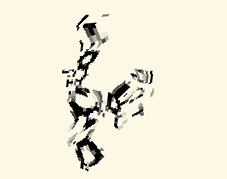 COc1cc(OC(F)(F)F)ccc1CNc1nc(C)c(-c2nc3cnccc3s2)c(N[C@@H]2C[C@H](CO)[C@@H](O)[C@H]2O)n1